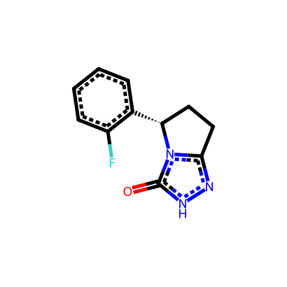 O=c1[nH]nc2n1[C@H](c1ccccc1F)CC2